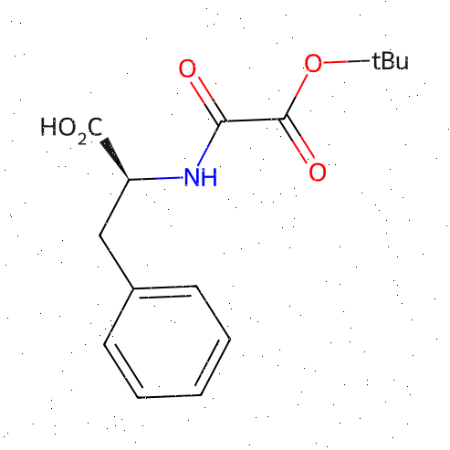 CC(C)(C)OC(=O)C(=O)N[C@@H](Cc1ccccc1)C(=O)O